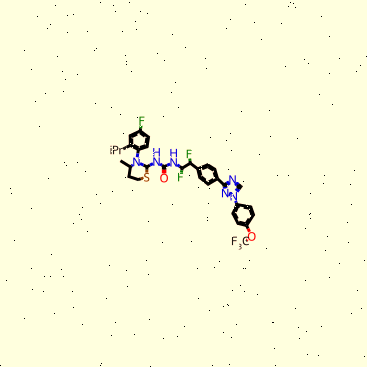 CC(C)c1cc(F)ccc1N1C(C)CCSC1NC(=O)NC(F)C(F)c1ccc(-c2ncn(-c3ccc(OC(F)(F)F)cc3)n2)cc1